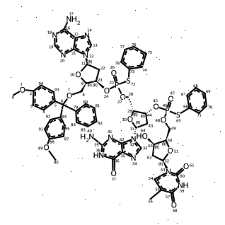 COc1ccc(C(OC[C@H]2O[C@@H](n3cnc4c(N)ncnc43)C[C@H]2OP(=O)(OC[C@H]2O[C@@H](n3cnc4c(=O)[nH]c(N)nc43)C[C@H]2OP(=O)(OC[C@H]2O[C@@H](n3cc(C)c(=O)[nH]c3=O)C[C@H]2O)Sc2ccccc2)Sc2ccccc2)(c2ccccc2)c2ccc(OC)cc2)cc1